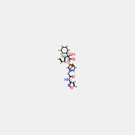 O=C(C[N+]12CCC(CC1)C(OC(=O)[C@@](O)(c1cccs1)C1CCCCC1)C2)Nc1ccon1